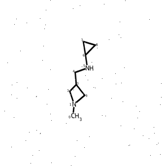 CN1CC(CNC2CC2)C1